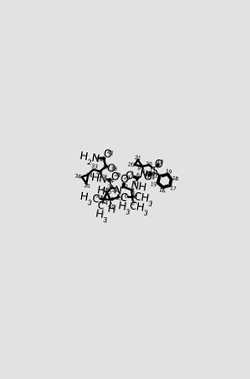 CC(C)(C)[C@H](NC(=O)NC1(CS(=O)(=O)c2ccccc2)CC1)C(=O)N1C[C@H]2[C@@H]([C@H]1C(=O)NC(CC1CC1)C(=O)C(N)=O)C2(C)C